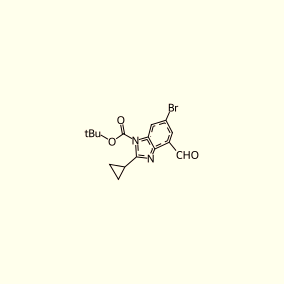 CC(C)(C)OC(=O)n1c(C2CC2)nc2c(C=O)cc(Br)cc21